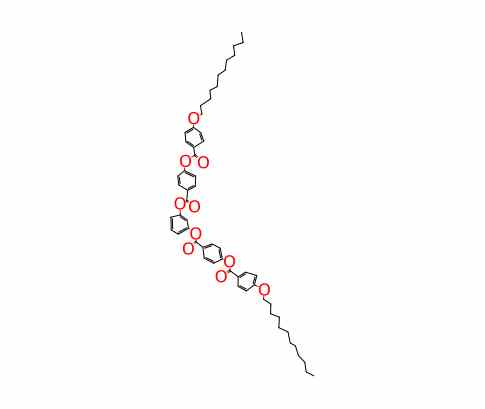 CCCCCCCCCCCCOc1ccc(C(=O)Oc2ccc(C(=O)Oc3cccc(OC(=O)c4ccc(OC(=O)c5ccc(OCCCCCCCCCCCC)cc5)cc4)c3)cc2)cc1